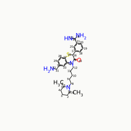 C[C@@H]1CCC[C@H](C)N1CCCCCN1C(=O)C(c2cccc(C(=N)N)c2)Sc2ccc(CN)cc21